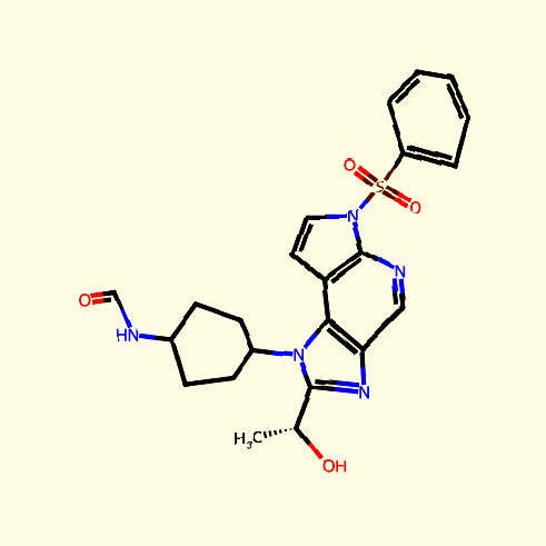 C[C@@H](O)c1nc2cnc3c(ccn3S(=O)(=O)c3ccccc3)c2n1C1CCC(NC=O)CC1